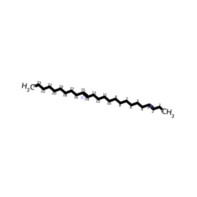 CC/C=C/CCCCCCCCCC/C=C/CCCCCCCCC